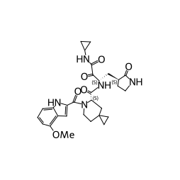 COc1cccc2[nH]c(C(=O)N3CCC4(CC4)C[C@H]3C(=O)N[C@@H](C[C@@H]3CCNC3=O)C(=O)C(=O)NC3CC3)cc12